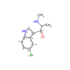 CNC(C)C(=O)c1c[nH]c2ccc(Br)cc12